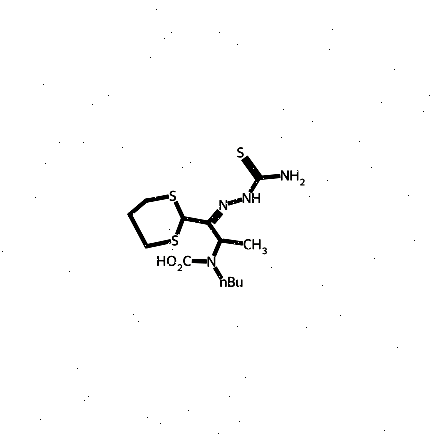 CCCCN(C(=O)O)C(C)C(=NNC(N)=S)C1SCCCS1